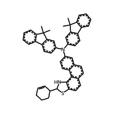 CC1(C)c2ccccc2-c2ccc(N(c3ccc4c(c3)C(C)(C)c3ccccc3-4)c3ccc4c(ccc5ccc6c(c54)NC(C4C=CCCC4)S6)c3)cc21